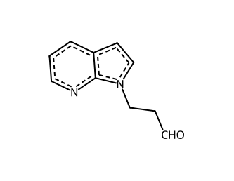 O=CCCn1ccc2cccnc21